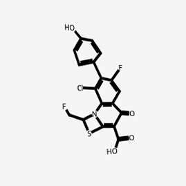 O=C(O)c1c2n(c3c(Cl)c(-c4ccc(O)cc4)c(F)cc3c1=O)C(CF)S2